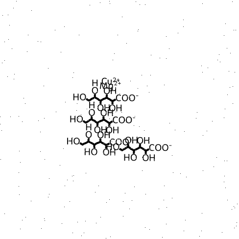 O=C([O-])C(O)C(O)C(O)C(O)CO.O=C([O-])C(O)C(O)C(O)C(O)CO.O=C([O-])C(O)C(O)C(O)C(O)CO.O=C([O-])C(O)C(O)C(O)C(O)CO.[Cu+2].[Mg+2]